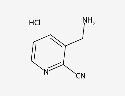 Cl.N#Cc1ncccc1CN